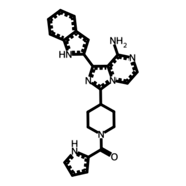 Nc1nccn2c(C3CCN(C(=O)c4ccc[nH]4)CC3)nc(-c3cc4ccccc4[nH]3)c12